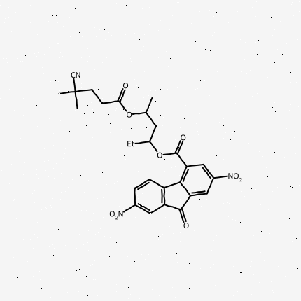 CCC(CC(C)OC(=O)CCC(C)(C)C#N)OC(=O)c1cc([N+](=O)[O-])cc2c1-c1ccc([N+](=O)[O-])cc1C2=O